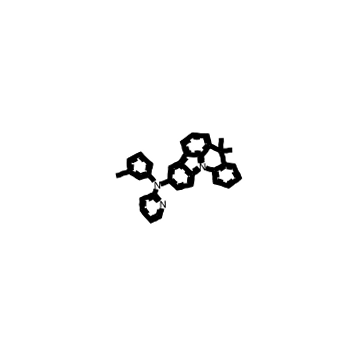 Cc1cccc(N(c2ccc3c(c2)c2cccc4c2n3-c2ccccc2C4(C)C)c2ccccn2)c1